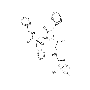 CC(C)(C)OC(=O)NCCC(=O)NC[C@H](C(=O)NC[C@](O)(Cc1ccccc1)C(=O)NCc1ccccc1)c1ccccc1